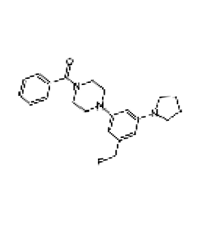 O=C(c1ccccc1)N1CCN(c2cc(CF)cc(N3CCCC3)c2)CC1